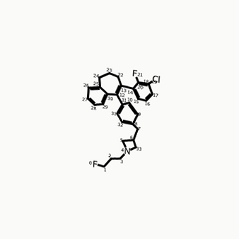 FCCCN1CC(Cc2ccc(C3=C(c4cccc(Cl)c4F)CCCc4ccccc43)cc2)C1